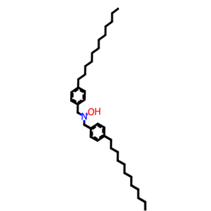 CCCCCCCCCCCCc1ccc(CN(O)Cc2ccc(CCCCCCCCCCCC)cc2)cc1